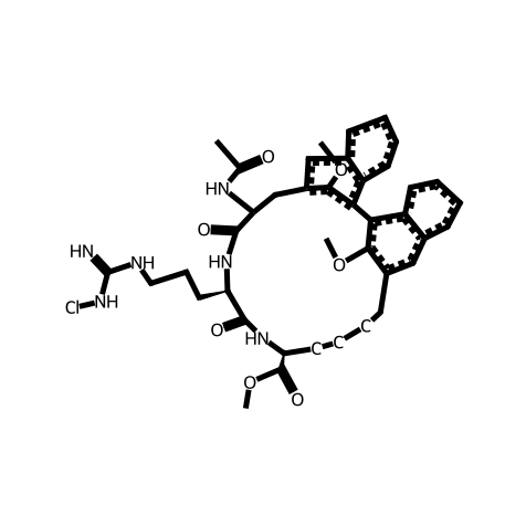 COC(=O)[C@@H]1CCCCc2cc3ccccc3c(c2OC)-c2c(OC)c(cc3ccccc23)CC(NC(C)=O)C(=O)N[C@H](CCCNC(=N)NCl)C(=O)N1